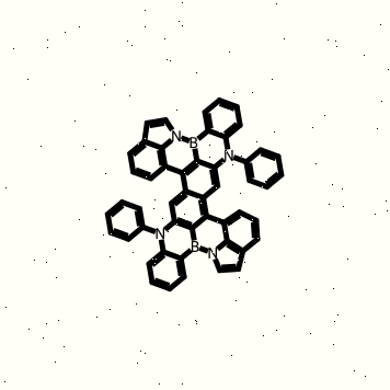 c1ccc(N2c3ccccc3B3c4c2cc2c5c6c(cc2c4-c2cccc4ccn3c24)N(c2ccccc2)c2ccccc2B6n2ccc3cccc-5c32)cc1